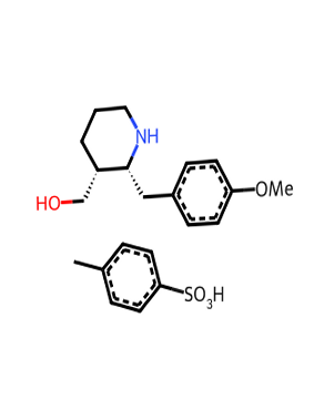 COc1ccc(C[C@H]2NCCC[C@H]2CO)cc1.Cc1ccc(S(=O)(=O)O)cc1